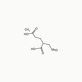 O=[S+]CC(CCC(=O)O)C(=O)O.[CH3]